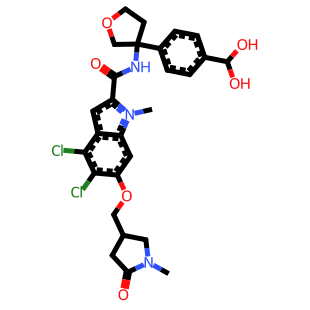 CN1CC(COc2cc3c(cc(C(=O)NC4(c5ccc(C(O)O)cc5)CCOC4)n3C)c(Cl)c2Cl)CC1=O